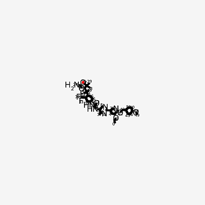 CCOc1cc(-c2ncc(NC(=O)Nc3ccc(C(C)(C)C(OC(N)=O)C(C)(C)C)c(C(F)(F)F)c3)c(C)n2)cnc1OCc1ccc(OC)cc1